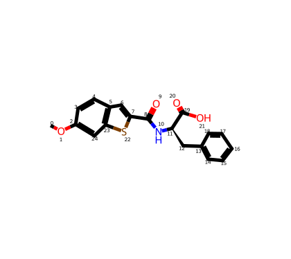 COc1ccc2cc(C(=O)N[C@H](Cc3ccccc3)C(=O)O)sc2c1